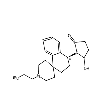 CC(C)(C)CCN1CCC2(CC[C@H](N3C(=O)CCC3O)c3ccccc32)CC1